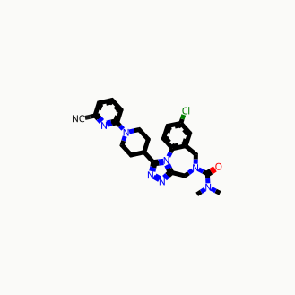 CN(C)C(=O)N1Cc2cc(Cl)ccc2-n2c(nnc2C2CCN(c3cccc(C#N)n3)CC2)C1